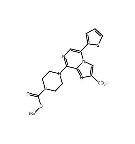 CC(C)(C)OC(=O)N1CCN(c2ncc(-c3cccs3)n3cc(C(=O)O)nc23)CC1